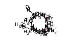 CC[C@@H]1NC(=O)[C@@H]2[C@@H]([C@H](C)CCCCCOS(C)(=O)=O)ON2C(=O)[C@H](C(C)C)N(C)C(=O)[C@@H]2CC(C)N(C(=O)[C@H](C)NC(=O)[C@H](CC(C)C)N(C)C(=O)[C@H](C(C)C)NC(=O)[C@H]([C@@H](C)OCCCCN3CCOCC3)N(C)C(=O)[C@@H](C)N(C)C1=O)[C@H](C)C(=O)N(C)[C@@H](CC(C)C)C(=O)N2C